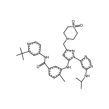 Cc1ccc(C(=O)Nc2ccnc(C(C)(C)C)c2)cc1Nc1cc(CN2CCS(=O)(=O)CC2)nn1-c1cc(NC(C)C)ncn1